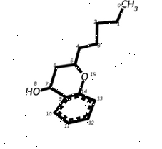 CCCCCC1CC(O)c2ccccc2O1